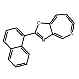 C1=CC=c2oc(-c3cccc4ccccc34)nc2=CN=1